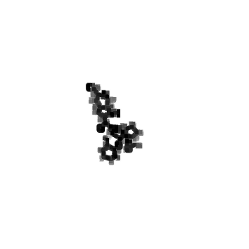 O=C(N[C@@H](Cc1ccccc1)C(=O)N1CCC[C@@H]1CO)c1cc2cc(Cl)ncc2[nH]1